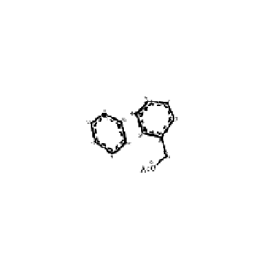 CC(=O)OCc1ccccc1.c1ccccc1